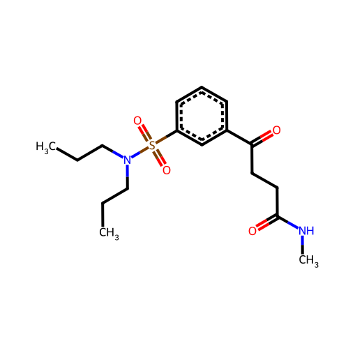 CCCN(CCC)S(=O)(=O)c1cccc(C(=O)CCC(=O)NC)c1